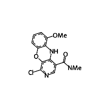 CNC(=O)c1cnc(Cl)c2c1Nc1c(OC)cccc1O2